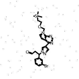 C[Si](C)(C)CCOCn1ccc2c(-c3cnn(C(CC=O)c4cccc(Br)c4)c3)ncnc21